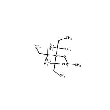 CCO[Si](C(C)(C)CC)(C(C)(C)CC)C(C)(C)CC